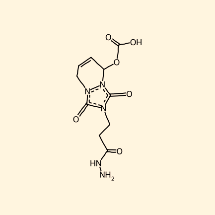 NNC(=O)CCn1c(=O)n2n(c1=O)C(OC(=O)O)C=CC2